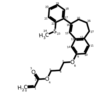 C=CC(=O)OCCCOc1ccc2c(c1)C=C(c1ccccc1SC)CCC2